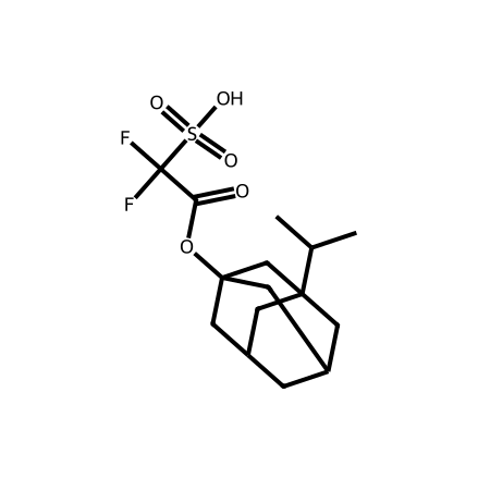 CC(C)C12CC3CC(CC(OC(=O)C(F)(F)S(=O)(=O)O)(C3)C1)C2